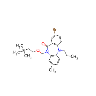 CCCN1c2ccc(Br)cc2C(=O)N(COCC[Si](C)(C)C)c2cc(C)ccc21